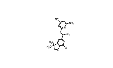 CC(Sc1nc(N)cc(C#N)n1)c1cc2c(c(Cl)n1)SCC2(C)C